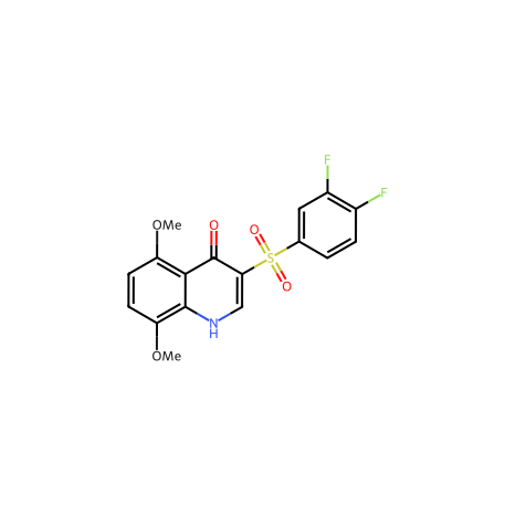 COc1ccc(OC)c2c(=O)c(S(=O)(=O)c3ccc(F)c(F)c3)c[nH]c12